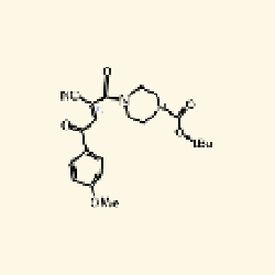 COc1ccc(C(=O)/C=C(\C#N)C(=O)N2CCN(C(=O)OC(C)(C)C)CC2)cc1